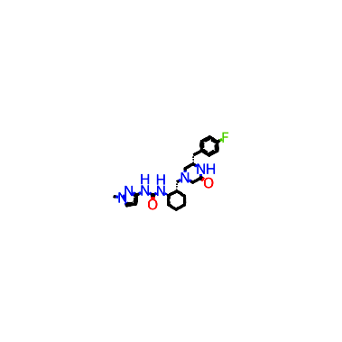 Cn1ccc(NC(=O)N[C@@H]2CCCC[C@H]2CN2CC(=O)N[C@@H](Cc3ccc(F)cc3)C2)n1